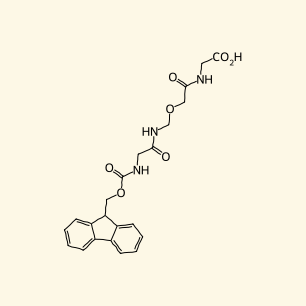 O=C(O)CNC(=O)COCNC(=O)CNC(=O)OCC1c2ccccc2-c2ccccc21